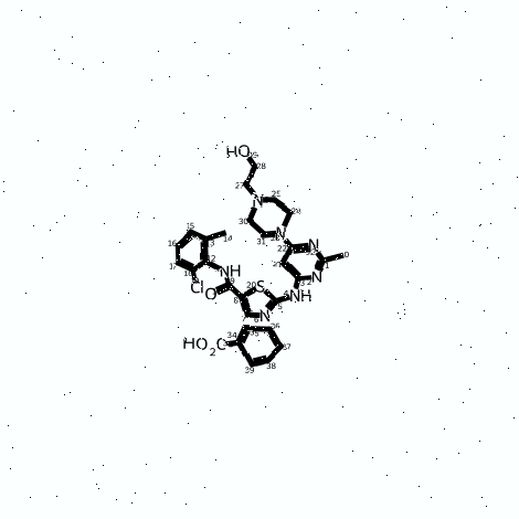 Cc1nc(Nc2ncc(C(=O)Nc3c(C)cccc3Cl)s2)cc(N2CCN(CCO)CC2)n1.O=C(O)c1ccccc1